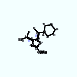 CC/C(C)=c1\nc(NC)s\c1=C(\C)N1CCCCC1